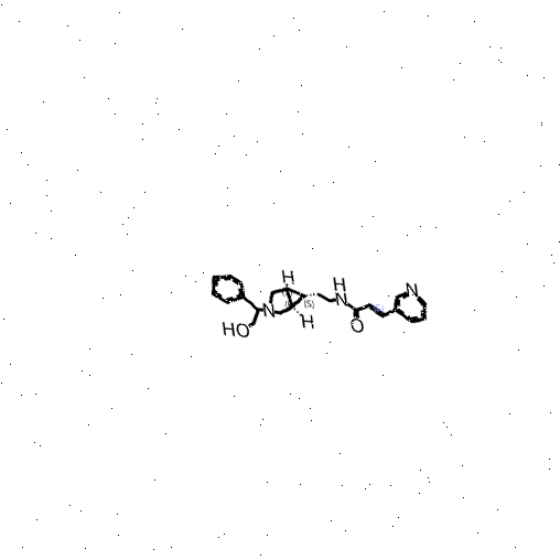 O=C(/C=C/c1cccnc1)NCC[C@@H]1[C@H]2CN(C(CO)c3ccccc3)C[C@@H]12